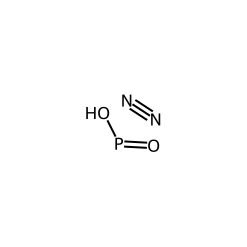 N#N.O=PO